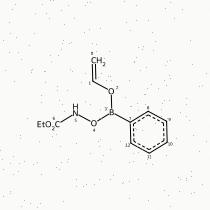 C=COB(ONC(=O)OCC)c1ccccc1